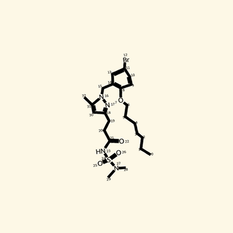 CCCCCCCOc1ccc(Br)cc1Cn1nc(CCC(=O)NS(=O)(=O)N(C)C)cc1C